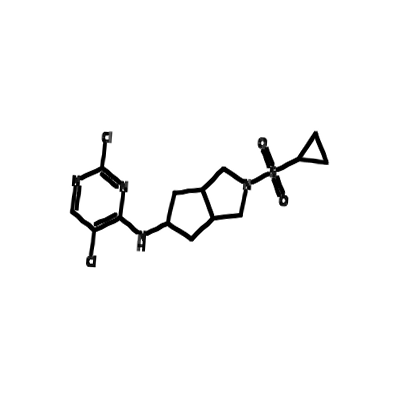 O=S(=O)(C1CC1)N1CC2CC(Nc3nc(Cl)ncc3Cl)CC2C1